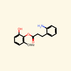 COc1cccc(O)c1OC(=O)CCc1ccccc1N